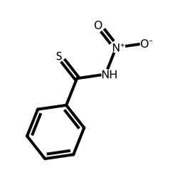 O=[N+]([O-])NC(=S)c1ccccc1